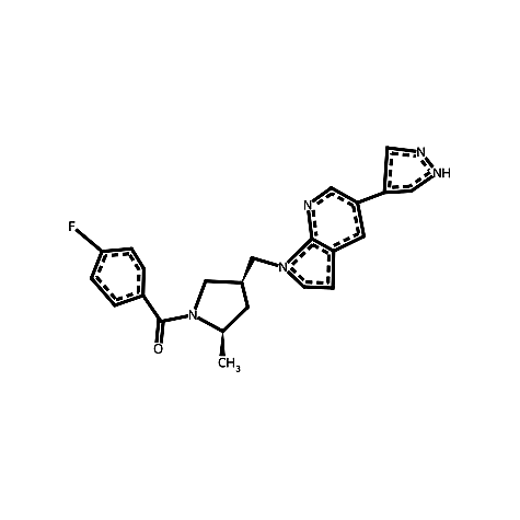 C[C@@H]1C[C@H](Cn2ccc3cc(-c4cn[nH]c4)cnc32)CN1C(=O)c1ccc(F)cc1